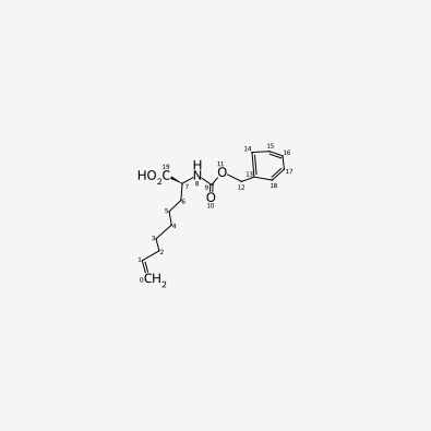 C=CCCCCC[C@H](NC(=O)OCc1ccccc1)C(=O)O